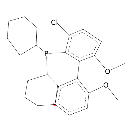 COc1ccccc1-c1c(OC)ccc(Cl)c1P(C1CCCCC1)C1CCCCC1